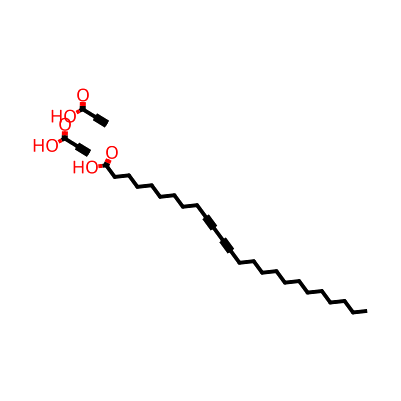 C#CC(=O)O.C#CC(=O)O.CCCCCCCCCCCCC#CC#CCCCCCCCCC(=O)O